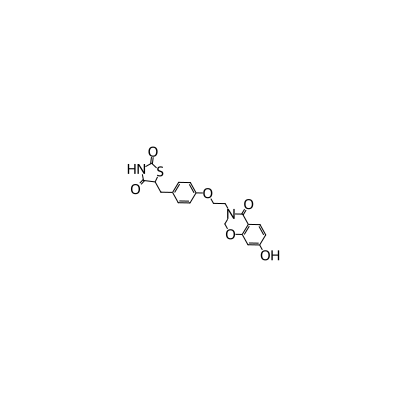 O=C1NC(=O)C(Cc2ccc(OCCN3COc4cc(O)ccc4C3=O)cc2)S1